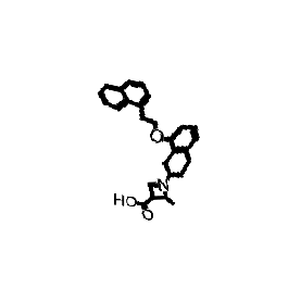 CC1C(C(=O)O)CN1C1CCc2cccc(OCCc3cccc4ccccc34)c2C1